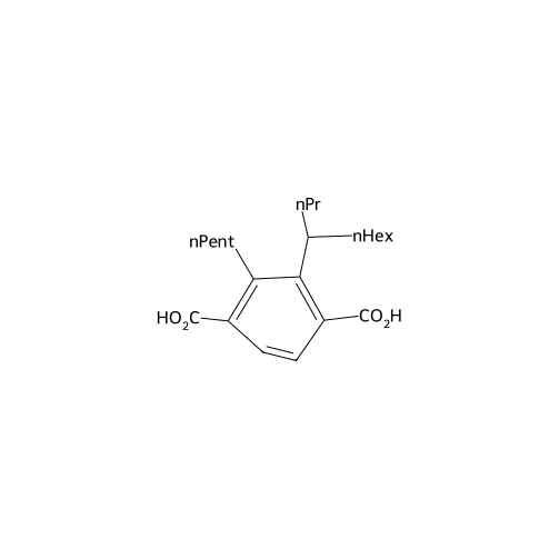 CCCCCCC(CCC)c1c(C(=O)O)ccc(C(=O)O)c1CCCCC